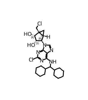 O[C@H]1[C@H](n2cnc3c(NC(C4CCCCC4)C4CCCCC4)nc(Cl)nc32)[C@H]2C[C@@]2(CCl)[C@H]1O